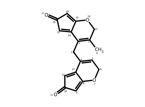 CC1=C([CH]C2=CCOC3=CC(=O)C=C23)C2=CC(=O)C=C2OC1